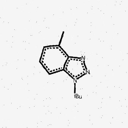 CCC(C)n1nnc2c(C)cccc21